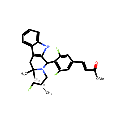 COC(=O)C=Cc1cc(F)c(C2c3[nH]c4ccccc4c3CC(C)(C)N2C[C@H](C)CF)c(F)c1